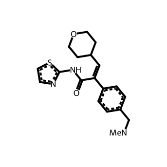 CNCc1ccc(C(=CC2CCOCC2)C(=O)Nc2nccs2)cc1